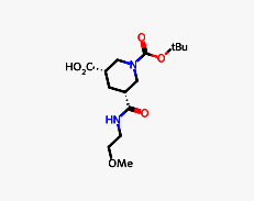 COCCNC(=O)[C@@H]1C[C@H](C(=O)O)CN(C(=O)OC(C)(C)C)C1